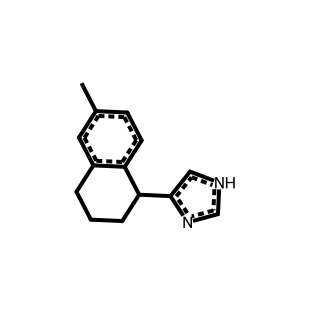 Cc1ccc2c(c1)CCCC2c1c[nH]cn1